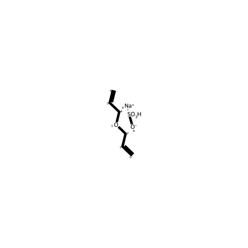 C=CCOCC=C.O=S(=O)([O-])O.[Na+]